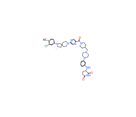 C[C@H]1CC2(CCN(c3cnc(C(=O)N4CCC(CN5CCN(c6cccc(N[C@@H]7CCC(=O)NC7=O)c6)CC5)CC4)cn3)CC2)CN1c1ccc(C#N)c(Cl)c1